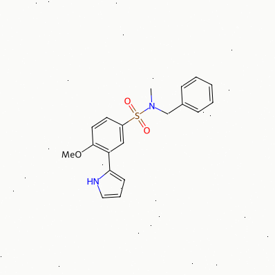 COc1ccc(S(=O)(=O)N(C)Cc2ccccc2)cc1-c1ccc[nH]1